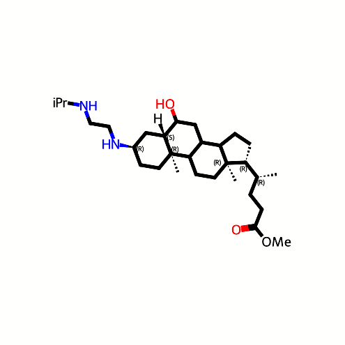 COC(=O)CC[C@@H](C)[C@H]1CCC2C3CC(O)[C@H]4C[C@H](NCCNC(C)C)CC[C@]4(C)C3CC[C@@]21C